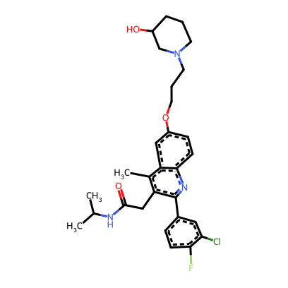 Cc1c(CC(=O)NC(C)C)c(-c2ccc(F)c(Cl)c2)nc2ccc(OCCCN3CCCC(O)C3)cc12